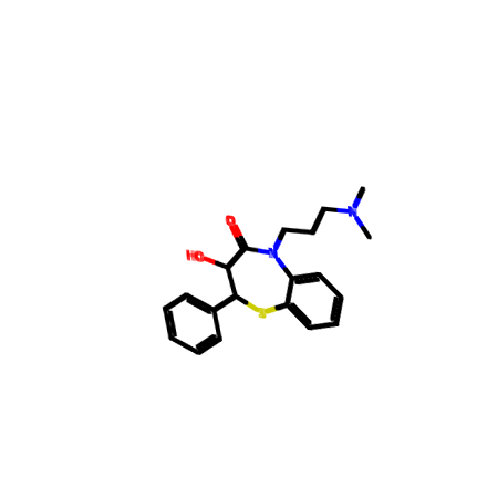 CN(C)CCCN1C(=O)C(O)C(c2ccccc2)Sc2ccccc21